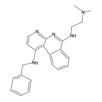 CN(C)CCNc1nc2nccc(NCc3ccccc3)c2c2ccccc12